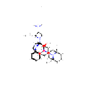 CN(C)[C@@H]1CN(c2nc3ccccc3n(C3C[C@H]4CCC[C@@H](C3)N4C3CC4CCCCC(C4)C3)c2=O)[C@@H]1C(=O)O